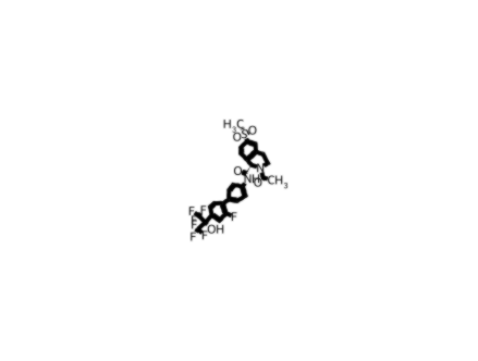 CC(=O)N1CCc2cc(S(C)(=O)=O)ccc2[C@H]1C(=O)Nc1ccc(-c2ccc(C(O)(C(F)(F)F)C(F)(F)F)cc2F)cc1